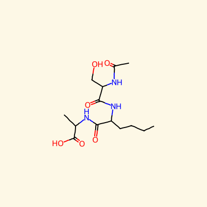 CCCCC(NC(=O)C(CO)NC(C)=O)C(=O)NC(C)C(=O)O